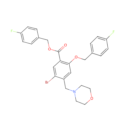 O=C(OCc1ccc(F)cc1)c1cc(Br)c(CN2CCOCC2)cc1OCc1ccc(F)cc1